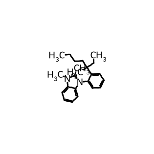 CCCCC(C)(CC)c1ccccc1N1c2ccccc2N(C)[C@H]1C